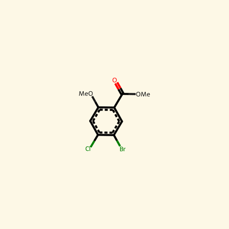 COC(=O)c1cc(Br)c(Cl)cc1OC